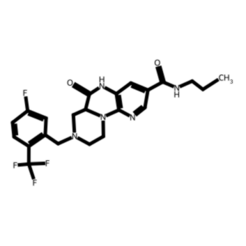 CCCNC(=O)c1cnc2c(c1)NC(=O)C1CN(Cc3cc(F)ccc3C(F)(F)F)CCN21